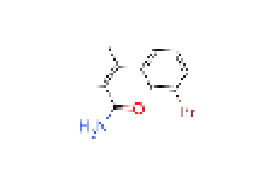 CC(C(N)=O)=C(C)c1cccc(Br)c1